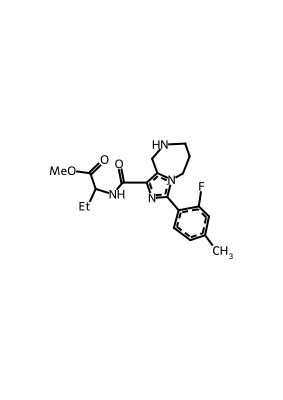 CCC(NC(=O)c1nc(-c2ccc(C)cc2F)n2c1CNCCC2)C(=O)OC